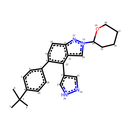 CC(C)(C)c1ccc(-c2ccc3nn(C4CCCCO4)cc3c2-c2cn[nH]c2)cc1